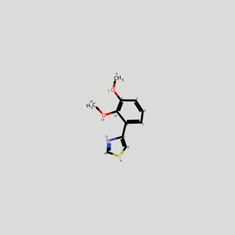 COc1cccc(-c2cs[c]n2)c1OC